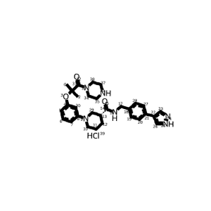 CC(C)(Oc1cccc(N2CCC[C@@H](C(=O)NCc3ccc(-c4cn[nH]c4)cc3)C2)c1)C(=O)N1CCNCC1.Cl